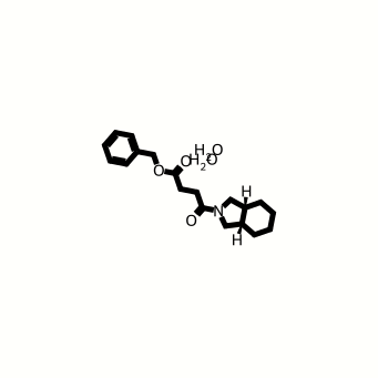 O.O.O=C(CCC(=O)N1C[C@H]2CCCC[C@H]2C1)OCc1ccccc1